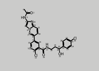 CC(=O)Nc1cn2nc(-c3cnc(Cl)c(C(=O)NCC[C@H](O)c4ccc(Cl)cc4)c3)ccc2n1